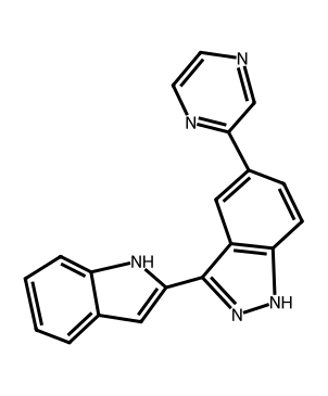 c1ccc2[nH]c(-c3n[nH]c4ccc(-c5cnccn5)cc34)cc2c1